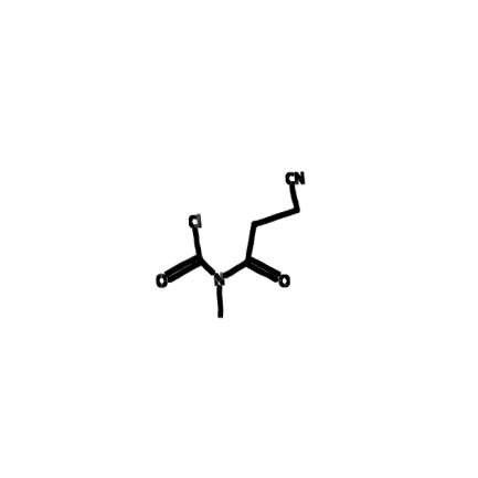 CN(C(=O)Cl)C(=O)CCC#N